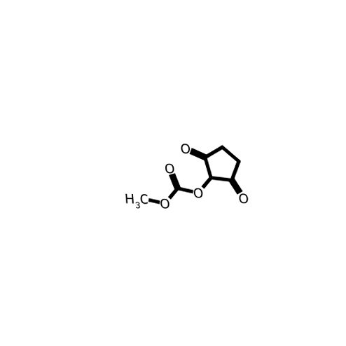 COC(=O)OC1C(=O)CCC1=O